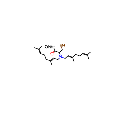 COC(=O)[C@@H](CS)N(C/C=C(\C)CCC=C(C)C)C/C=C(\C)CCC=C(C)C